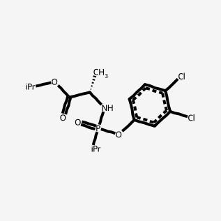 CC(C)OC(=O)[C@H](C)NP(=O)(Oc1ccc(Cl)c(Cl)c1)C(C)C